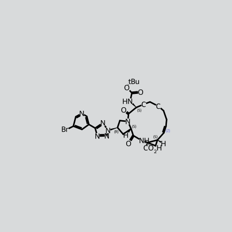 CC(C)(C)OC(=O)N[C@H]1CCCCC/C=C\[C@@H]2C[C@@]2(C(=O)O)NC(=O)[C@@H]2C[C@@H](n3nnc(-c4cncc(Br)c4)n3)CN2C1=O